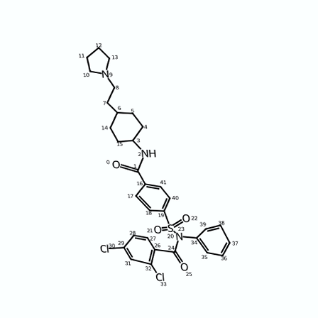 O=C(NC1CCC(CCN2CCCC2)CC1)c1ccc(S(=O)(=O)N(C(=O)c2ccc(Cl)cc2Cl)c2ccccc2)cc1